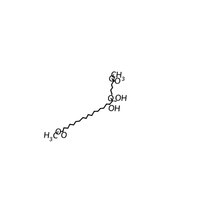 COC(=O)CCCCCCCCCCCCCCC[C@H](O)[C@H](CO)OCCCCC(=O)OC